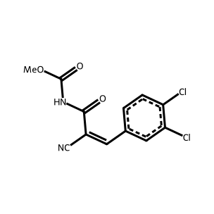 COC(=O)NC(=O)C(C#N)=Cc1ccc(Cl)c(Cl)c1